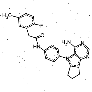 Cc1ccc(F)c(CC(=O)Nc2ccc(-n3c4c(c5ncnc(N)c53)CCC4)cc2)c1